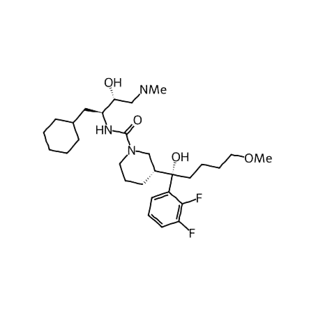 CNC[C@@H](O)[C@H](CC1CCCCC1)NC(=O)N1CCC[C@@H]([C@@](O)(CCCCOC)c2cccc(F)c2F)C1